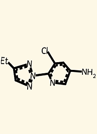 CCc1cnn(-c2ncc(N)cc2Cl)n1